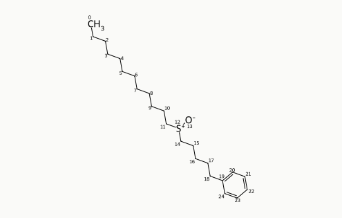 CCCCCCCCCCCC[S+]([O-])CCCCCc1ccccc1